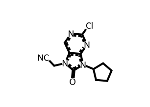 N#CCn1c(=O)n(C2CCCC2)c2nc(Cl)ncc21